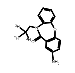 [2H]C([2H])([2H])CN1C(=O)c2cc(N)ccc2Oc2ccccc21